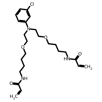 C=CC(=O)NCCCCOCCN(CCOCCCCNC(=O)C=C)c1cccc(Cl)c1